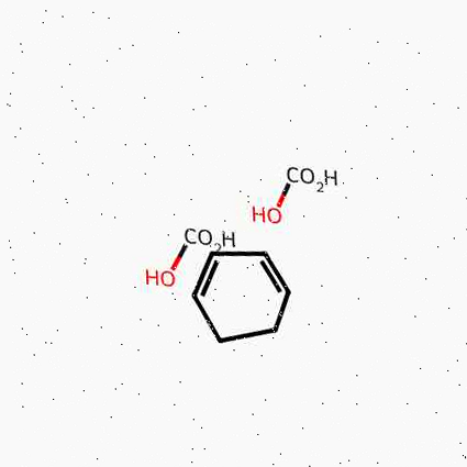 C1=CCCC=C1.O=C(O)O.O=C(O)O